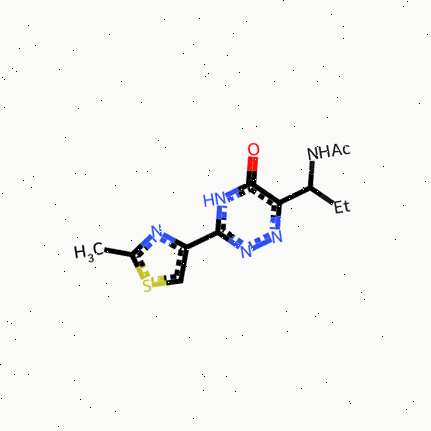 CCC(NC(C)=O)c1nnc(-c2csc(C)n2)[nH]c1=O